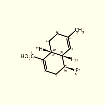 CC1=C[C@@H]2[C@@H](C(C)C)CC=C(C(=O)O)[C@@H]2CC1